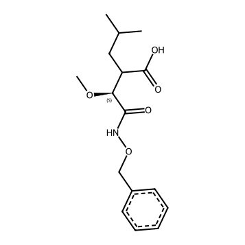 CO[C@H](C(=O)NOCc1ccccc1)C(CC(C)C)C(=O)O